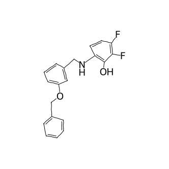 Oc1c(NCc2cccc(OCc3ccccc3)c2)ccc(F)c1F